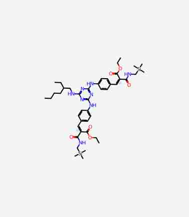 CCCCC(CC)CNc1nc(Nc2ccc(/C=C(/C(=O)NC[Si](C)(C)C)C(=O)OCC)cc2)nc(Nc2ccc(/C=C(/C(=O)NC[Si](C)(C)C)C(=O)OCC)cc2)n1